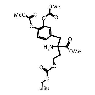 CC[C@H](C)COC(=O)OCCC(N)(Cc1ccc(OC(=O)OC)c(OC(=O)OC)c1)C(=O)OC